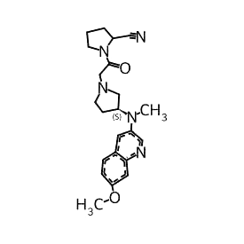 COc1ccc2cc(N(C)[C@H]3CCN(CC(=O)N4CCCC4C#N)C3)cnc2c1